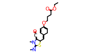 CCOC(=O)CCCOC1=CCC(=CC2SC(=NC)N(C)C2=C=O)C=C1